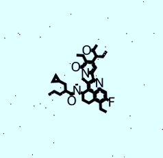 CCCC(CC1CC1)C(=O)N(C)C1CCc2c(CC)c(F)cc3nc4c(c1c23)Cn1c-4cc(C(CC)C(C)=O)c(CC)c1=O